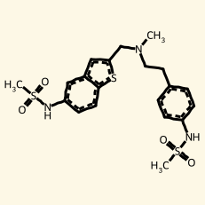 CN(CCc1ccc(NS(C)(=O)=O)cc1)Cc1cc2cc(NS(C)(=O)=O)ccc2s1